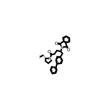 O=C1c2ccccc2C(=O)N1C(CCC(=O)N1CCC[C@@H]1CI)Cc1ccc(-c2ccccc2)cc1